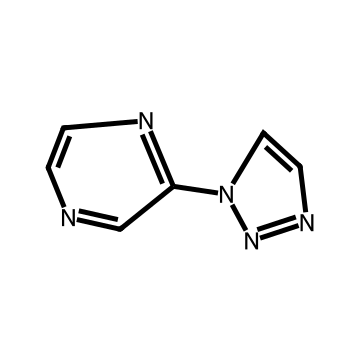 c1cnc(-n2ccnn2)cn1